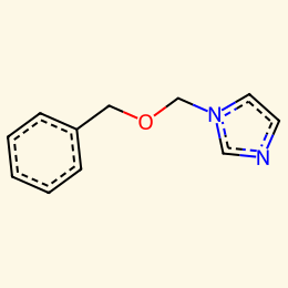 c1ccc(COCn2ccnc2)cc1